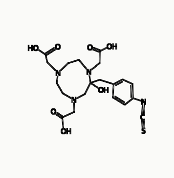 O=C(O)CN1CCN(CC(=O)O)CC(O)(Cc2ccc(N=C=S)cc2)N(CC(=O)O)CC1